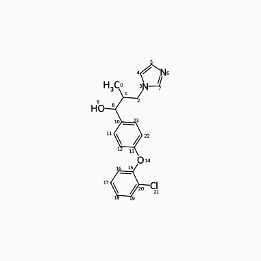 CC(Cn1ccnc1)C(O)c1ccc(Oc2ccccc2Cl)cc1